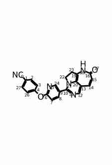 N#Cc1ccc(Oc2ccc(C3=NC=C4C=CC(=O)NC5=C4N3CC5)cn2)cc1